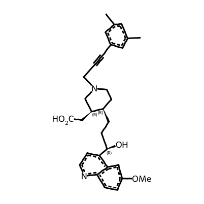 COc1ccc2nccc([C@H](O)CC[C@@H]3CCN(CC#Cc4cc(C)cc(C)c4)C[C@@H]3CC(=O)O)c2c1